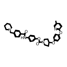 Cc1ccc(Oc2ccc(OC3CCN(C(=O)Oc4ccc(NC(=O)c5ccc(CN6CCCCC6)cc5)cc4)CC3)cc2)nc1